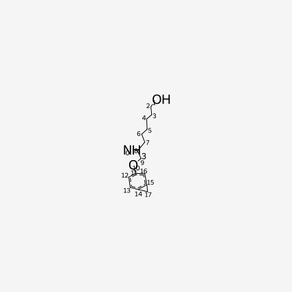 N.OCCCCCCCCOc1ccc2c(c1)C2